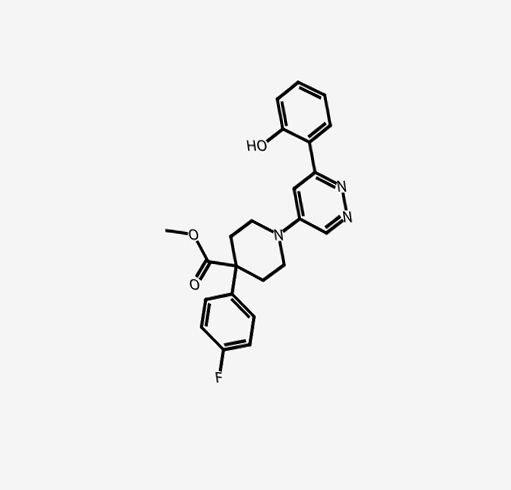 COC(=O)C1(c2ccc(F)cc2)CCN(c2cnnc(-c3ccccc3O)c2)CC1